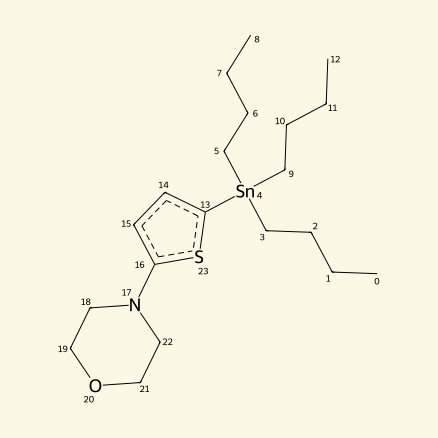 CCC[CH2][Sn]([CH2]CCC)([CH2]CCC)[c]1ccc(N2CCOCC2)s1